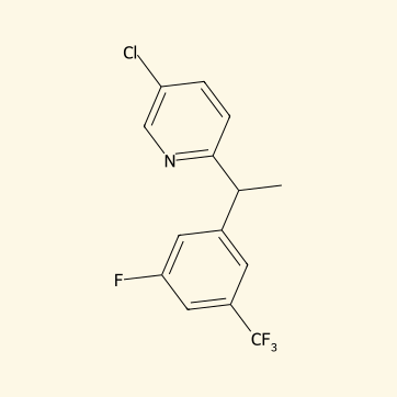 CC(c1cc(F)cc(C(F)(F)F)c1)c1ccc(Cl)cn1